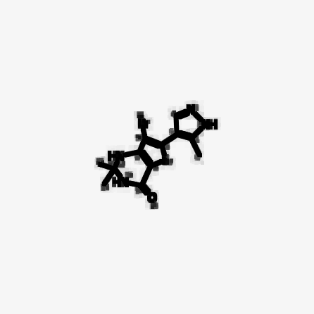 Cc1[nH]ncc1-c1sc2c(c1Br)NC(C)(C)NC2=O